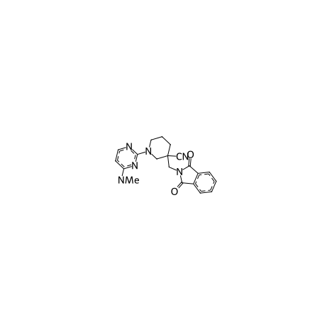 CNc1ccnc(N2CCCC(C#N)(CN3C(=O)c4ccccc4C3=O)C2)n1